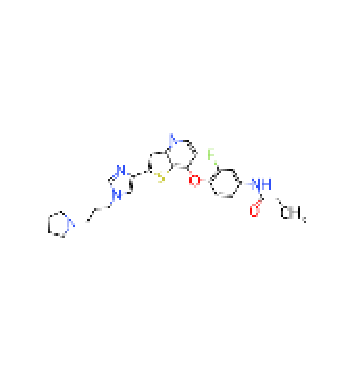 CCC(=O)Nc1ccc(Oc2ccnc3cc(-c4cn(CCCN5CCCC5)cn4)sc23)c(F)c1